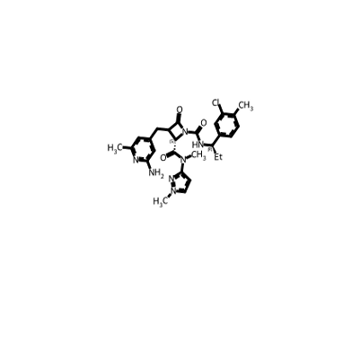 CC[C@@H](NC(=O)N1C(=O)C(Cc2cc(C)nc(N)c2)[C@H]1C(=O)N(C)c1ccn(C)n1)c1ccc(C)c(Cl)c1